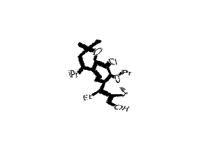 CCC(=C(F)CO)c1cc2c(c(Cl)c1OC(C)C)OC(C)(C)C=C2C(C)C